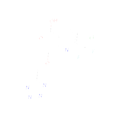 Cn1nnc(COCc2nc(C(F)(F)Cl)ccc2C(=O)O)n1